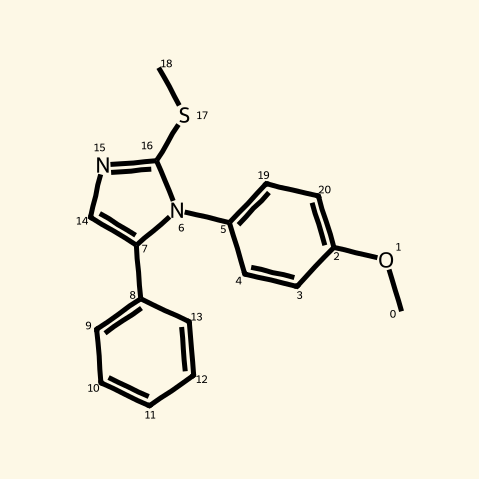 COc1ccc(-n2c(-c3ccccc3)cnc2SC)cc1